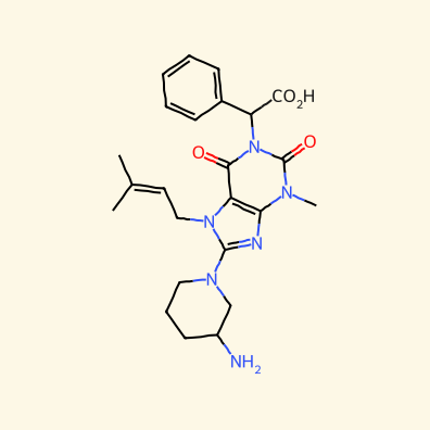 CC(C)=CCn1c(N2CCCC(N)C2)nc2c1c(=O)n(C(C(=O)O)c1ccccc1)c(=O)n2C